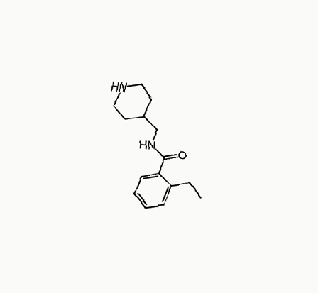 CCc1ccccc1C(=O)NCC1CCNCC1